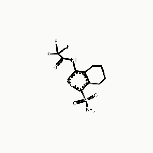 NS(=O)(=O)c1ccc(NC(=O)C(F)(F)F)c2c1CCCC2